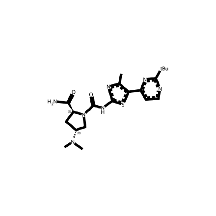 Cc1nc(NC(=O)N2C[C@H](N(C)C)C[C@H]2C(N)=O)sc1-c1ccnc(C(C)(C)C)n1